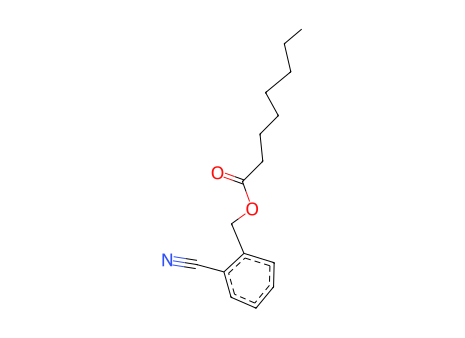 CCCCCCCC(=O)OCc1ccccc1C#N